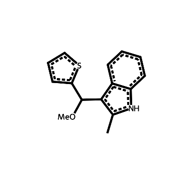 COC(c1cccs1)c1c(C)[nH]c2ccccc12